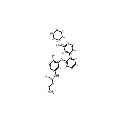 CCC[S+]([O-])Nc1ccc(I)c(Oc2ncccc2-c2ccnc(N[C@H]3CCCNC3)n2)c1